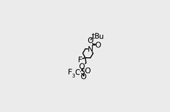 CC(C)(C)OC(=O)N1CCC(F)(COS(=O)(=O)C(F)(F)F)CC1